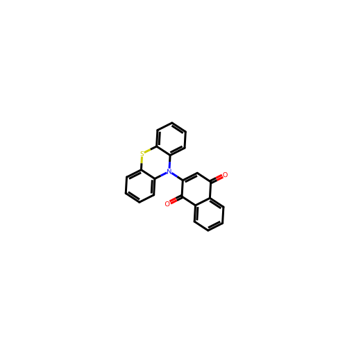 O=C1C=C(N2c3ccccc3Sc3ccccc32)C(=O)c2ccccc21